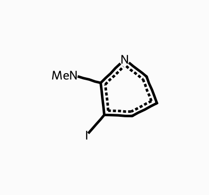 CNc1ncccc1I